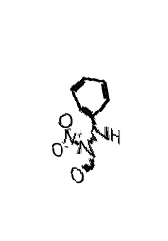 O=CN(Nc1ccccc1)[N+](=O)[O-]